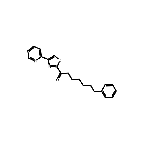 O=C(CCCCCCc1ccccc1)c1nc(-c2ccccn2)co1